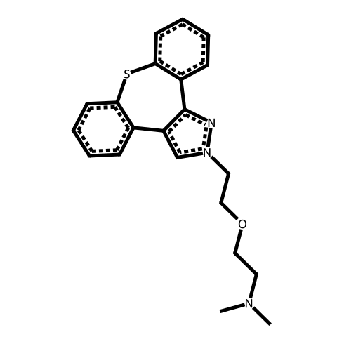 CN(C)CCOCCn1cc2c(n1)-c1ccccc1Sc1ccccc1-2